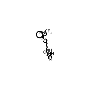 O=C(NCCCCC1CCN(C(=O)C2CCC(C(F)(F)F)NC23CCCCCCCCCC3)CC1)C1Cc2cnccc2N1